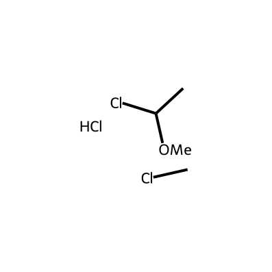 CCl.COC(C)Cl.Cl